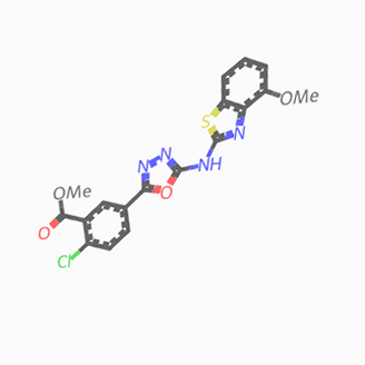 COC(=O)c1cc(-c2nnc(Nc3nc4c(OC)cccc4s3)o2)ccc1Cl